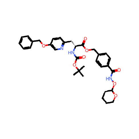 CC(C)(C)OC(=O)N[C@H](Cc1ccc(OCc2ccccc2)cn1)C(=O)OCc1ccc(C(=O)NOC2CCCCO2)cc1